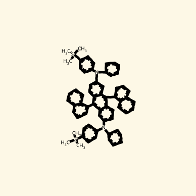 C[Si](C)(C)c1ccc(N(c2ccccc2)c2ccc3c(-c4cccc5ccccc45)c4cc(N(c5ccccc5)c5ccc([Si](C)(C)C)cc5)ccc4c(-c4cccc5ccccc45)c3c2)cc1